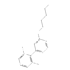 Cc1cccc(C)c1-c1cccc(OCCCCCl)c1